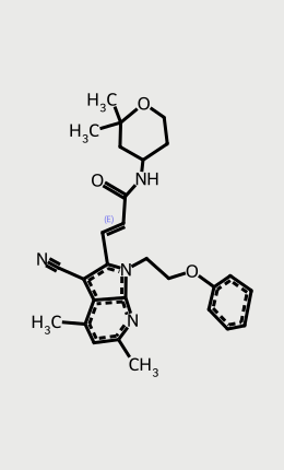 Cc1cc(C)c2c(C#N)c(/C=C/C(=O)NC3CCOC(C)(C)C3)n(CCOc3ccccc3)c2n1